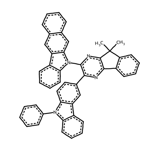 CC1(C)c2ccccc2-c2nc(-c3ccc4c(c3)c3ccccc3n4-c3ccccc3)c(-n3c4ccccc4c4cc5ccccc5cc43)nc21